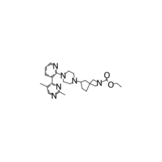 CCOC(=O)N1CC2(CCC(N3CCN(c4ncccc4-c4nc(C)ncc4C)CC3)C2)C1